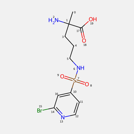 CC(N)(CCCNS(=O)(=O)c1ccnc(Br)c1)C(=O)O